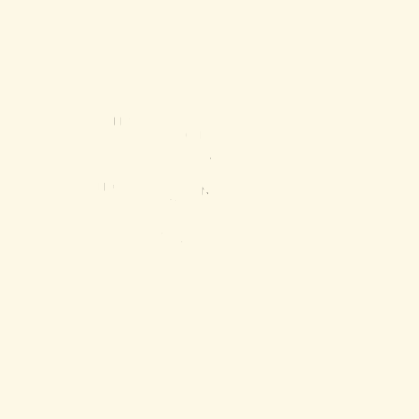 C=C(C(C)=C(C)C)N(C)C1CC2=C(CCC=C2)C1